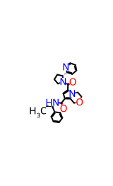 CC[C@@H](NC(=O)c1cc(C(=O)N2CCC[C@@H]2c2ccccn2)n2c1COCC2)c1ccccc1